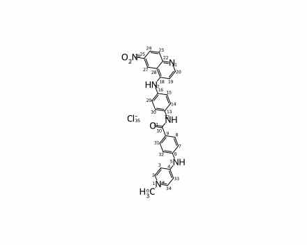 C[n+]1ccc(Nc2ccc(C(=O)Nc3ccc(Nc4ccnc5ccc([N+](=O)[O-])cc45)cc3)cc2)cc1.[Cl-]